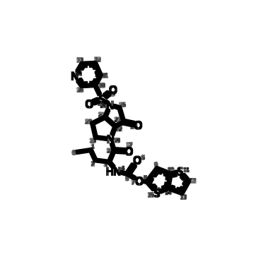 CCCC(NC(=O)Oc1cc2sccc2s1)C(=O)N1CCC2C1C(=O)CN2S(=O)(=O)c1cccnc1